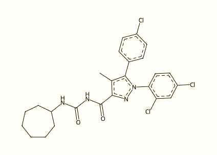 Cc1c(C(=O)NC(=O)NC2CCCCCC2)nn(-c2ccc(Cl)cc2Cl)c1-c1ccc(Cl)cc1